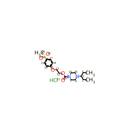 CCC(CC)N1CCN(C(=O)OCCOc2ccc(S(C)(=O)=O)cc2)CC1.Cl